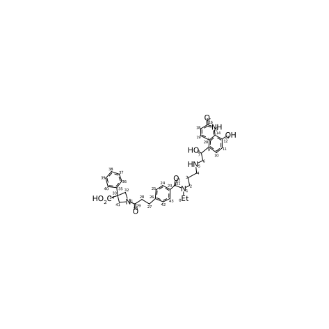 CCN(CCCNCC(O)c1ccc(O)c2[nH]c(=O)ccc12)C(=O)c1ccc(CCC(=O)N2CC(C(=O)O)(c3ccccc3)C2)cc1